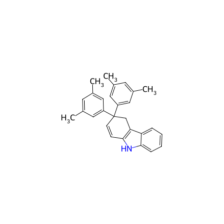 Cc1cc(C)cc(C2(c3cc(C)cc(C)c3)C=Cc3[nH]c4ccccc4c3C2)c1